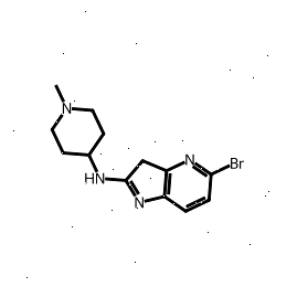 CN1CCC(NC2=Nc3ccc(Br)nc3C2)CC1